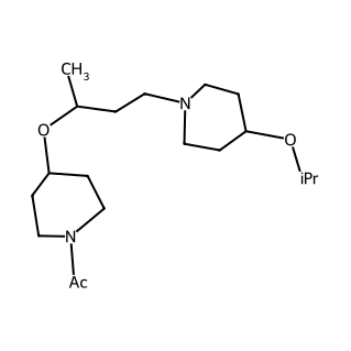 CC(=O)N1CCC(OC(C)CCN2CCC(OC(C)C)CC2)CC1